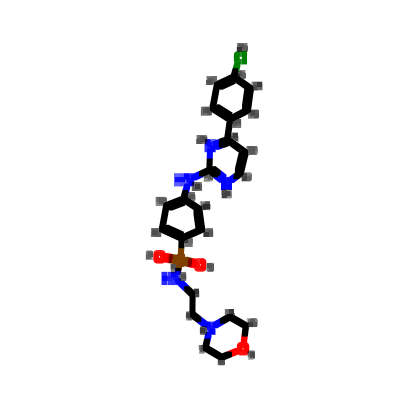 O=S(=O)(NCCN1CCOCC1)c1ccc(Nc2nccc(-c3ccc(Cl)cc3)n2)cc1